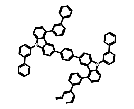 C=C/C=C(\C=C/C)c1cccc(-c2cccc3c2c2cc(-c4ccc(-c5ccc6c(c5)c5c(-c7cccc(-c8ccccc8)c7)cccc5n6-c5cccc(-c6ccccc6)c5)cc4)ccc2n3-c2cccc(-c3ccccc3)c2)c1